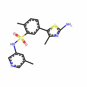 Cc1cncc(NS(=O)(=O)c2cc(-c3sc(N)nc3C)ccc2C)c1